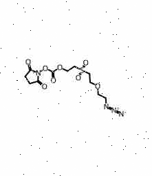 [N-]=[N+]=NCCOCCS(=O)(=O)CCOC(=O)ON1C(=O)CCC1=O